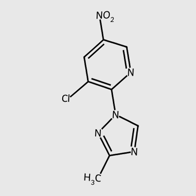 Cc1ncn(-c2ncc([N+](=O)[O-])cc2Cl)n1